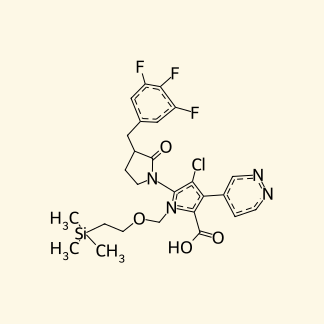 C[Si](C)(C)CCOCn1c(C(=O)O)c(-c2ccnnc2)c(Cl)c1N1CCC(Cc2cc(F)c(F)c(F)c2)C1=O